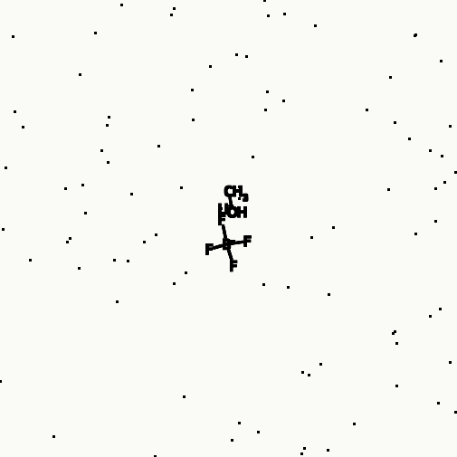 CO.F[B-](F)(F)F.[Li+]